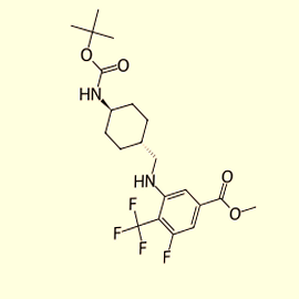 COC(=O)c1cc(F)c(C(F)(F)F)c(NC[C@H]2CC[C@H](NC(=O)OC(C)(C)C)CC2)c1